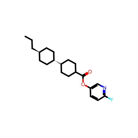 CCC[C@H]1CC[C@H](C2CCC(C(=O)Oc3ccc(F)nc3)CC2)CC1